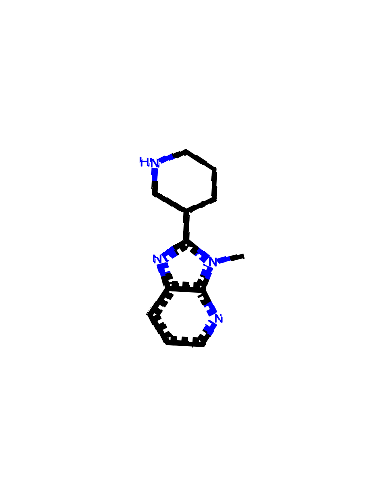 Cn1c(C2CCCNC2)nc2cccnc21